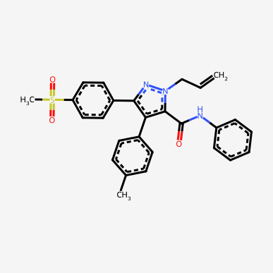 C=CCn1nc(-c2ccc(S(C)(=O)=O)cc2)c(-c2ccc(C)cc2)c1C(=O)Nc1ccccc1